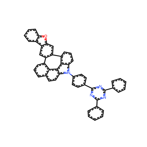 c1ccc(-c2nc(-c3ccccc3)nc(-c3ccc(-n4c5cccc6c5c5c7c(cccc7ccc54)-c4cc5c(cc4-6)oc4ccccc45)cc3)n2)cc1